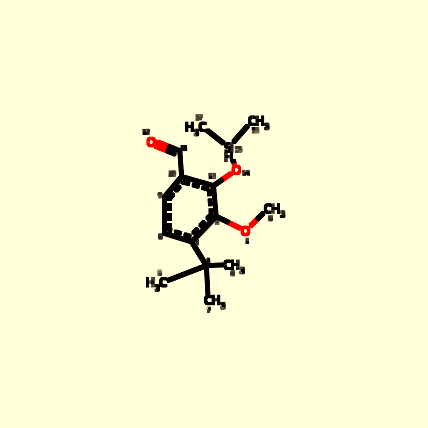 COc1c(C(C)(C)C)ccc(C=O)c1O[SiH](C)C